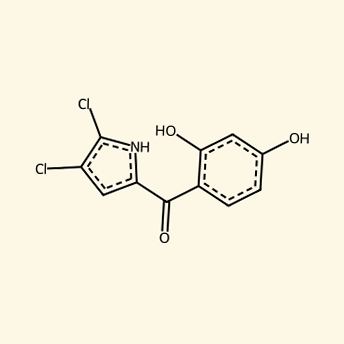 O=C(c1cc(Cl)c(Cl)[nH]1)c1ccc(O)cc1O